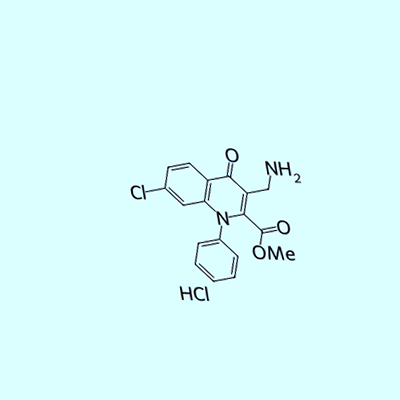 COC(=O)c1c(CN)c(=O)c2ccc(Cl)cc2n1-c1ccccc1.Cl